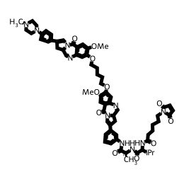 COc1cc2c(cc1OCCCCCOc1cc3c(cc1OC)C(=O)N1C=C(c4cccc(NC(=O)[C@H](C)NC(=O)C(NC(=O)CCCCCN5C(=O)C=CC5=O)C(C)C)c4)CC1C=N3)N=CC1CC(c3ccc(N4CCN(C)CC4)cc3)=CN1C2=O